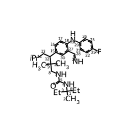 CCC(C)(CC)NC(=O)NCC(C)(C)C(CC(C)C)c1ccc(Nc2ccc(F)cc2)c(C=N)c1